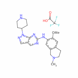 COc1cc2c(cc1Nc1ncc3cnn(C4CCNCC4)c3n1)CN(C)CC2.O=C(O)C(F)(F)F